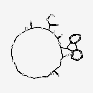 CC(C)(C)OC(=O)C1CCC(=O)NCCCOCCOCCOCCCNC(=O)CCC(C(=O)O)C(C2c3ccccc3-c3ccccc32)OC(=O)N1